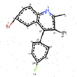 Cc1nc2ccc(Br)cc2c(-c2ccc(F)cc2)c1C(C)C